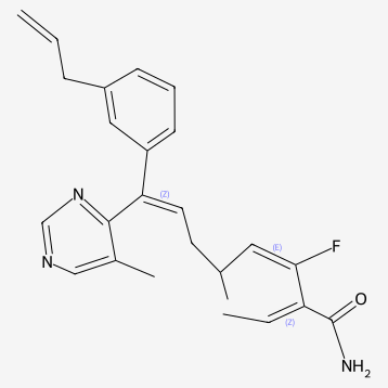 C=CCc1cccc(/C(=C/CC(C)/C=C(F)\C(=C/C)C(N)=O)c2ncncc2C)c1